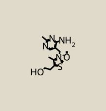 C=O.Cc1ncc(C[n+]2csc(CCO)c2C)c(N)n1